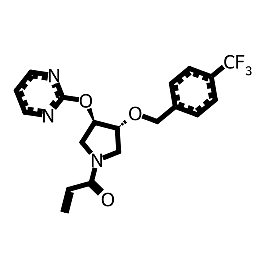 C=CC(=O)N1C[C@@H](OCc2ccc(C(F)(F)F)cc2)[C@H](Oc2ncccn2)C1